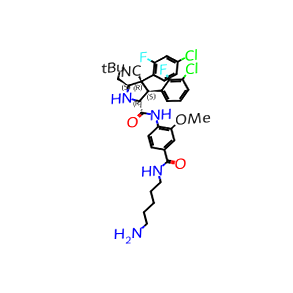 COc1cc(C(=O)NCCCCCN)ccc1NC(=O)[C@@H]1N[C@@H](CC(C)(C)C)[C@](C#N)(c2ccc(Cl)cc2F)[C@H]1c1cccc(Cl)c1F